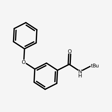 CC(C)(C)NC(=O)c1cccc(Oc2ccccc2)c1